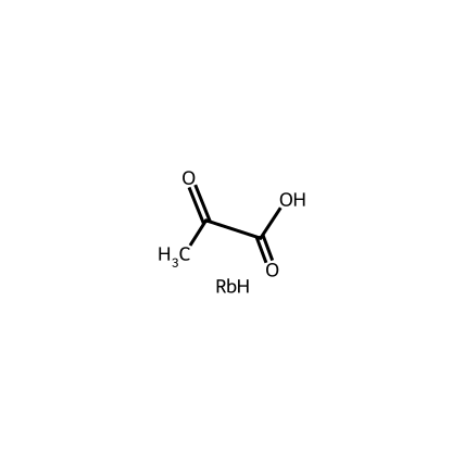 CC(=O)C(=O)O.[RbH]